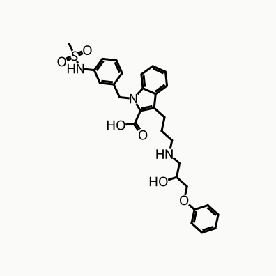 CS(=O)(=O)Nc1cccc(Cn2c(C(=O)O)c(CCCNCC(O)COc3ccccc3)c3ccccc32)c1